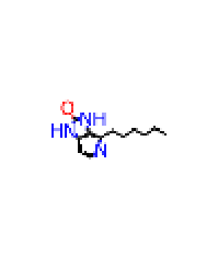 CCCCCCc1nccc2[nH]c(=O)[nH]c12